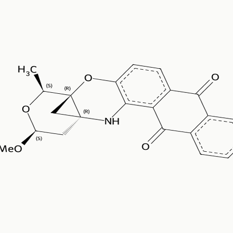 CO[C@@H]1C[C@]23C[C@]2(Oc2ccc4c(c2N3)C(=O)c2ccccc2C4=O)[C@H](C)O1